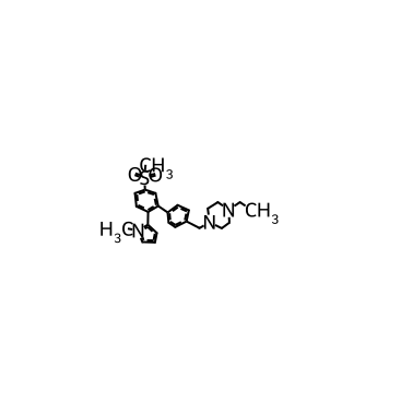 CCN1CCN(Cc2ccc(-c3cc(S(C)(=O)=O)ccc3-c3cccn3C)cc2)CC1